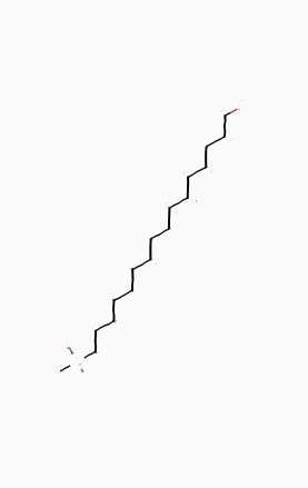 C[Si](Cl)(Cl)CCCCCCCCCCCCCCCCBr